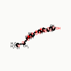 C=C1C[C@H](CC[C@@]23C[C@H]4OC5[C@@H](O[C@H]6CC[C@H](CC(=O)O[C@H]7CO[C@H]8C[C@H]9O[C@@H](C[C@@H]%10O[C@@]%11(CC[C@@H]%10O)C[C@H](C)[C@@H]%10O[C@H](CO)CC[C@@H]%10O%11)CC9OC8C7)O[C@@H]6[C@@H]5O2)[C@H]4O3)O[C@H]1CC[C@H]1C[C@@H](C)C(=C)[C@@H](CC)O1